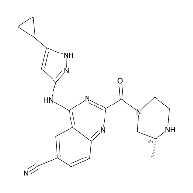 C[C@@H]1CN(C(=O)c2nc(Nc3cc(C4CC4)[nH]n3)c3cc(C#N)ccc3n2)CCN1